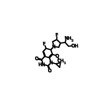 COC1=c2c(c(=O)[nH]c(=O)n2C2CC2)=CC(F)C1N1CC(F)C(C(N)CO)C1